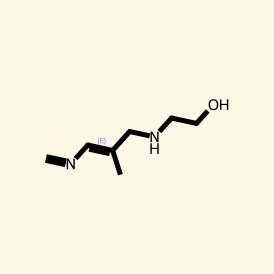 C=N/C=C(\C)CNCCO